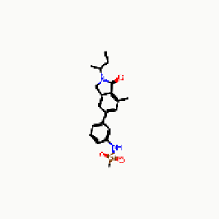 CCC(C)N1Cc2cc(-c3cccc(NS(C)(=O)=O)c3)cc(C)c2C1=O